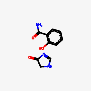 NC(=O)c1ccccc1O.O=C1CNC=N1